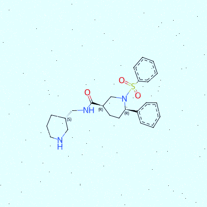 O=C(NC[C@H]1CCCNC1)[C@@H]1CC[C@H](c2ccccc2)N(S(=O)(=O)c2ccccc2)C1